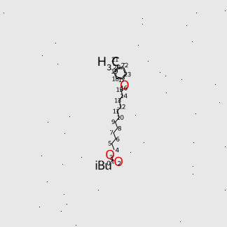 CCC(C)C(=O)OCCCCCCCCCCCCOc1ccc(C)cc1